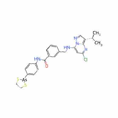 CC(C)c1cnn2c(NCc3cccc(C(=O)Nc4ccc([As]5SCCS5)cc4)c3)cc(Cl)nc12